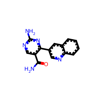 NC(=O)c1cnc(N)nc1-c1cnc2ccccc2c1